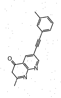 CC1=Nc2ncc(C#Cc3cccc(C)c3)cc2C(=O)C1